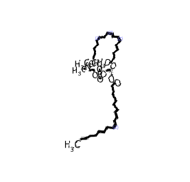 CCCCC/C=C\C/C=C\C/C=C\CCCCC(=O)O[C@H](COC(=O)CCCCCCCCC/C=C\CCCCCCCC)COP(=O)([O-])OCC[N+](C)(C)C